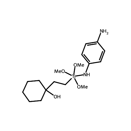 C[O][Ti]([CH2]CC1(O)CCCCC1)([NH]c1ccc(N)cc1)([O]C)[O]C